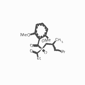 CCC(=O)P(=O)(CC(C)CC(C)C)C(=O)c1c(OC)cccc1OC